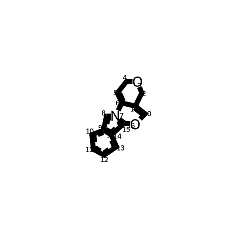 C1=C2COCC=C2n2cc3ccccc3c2O1